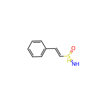 N=[SH](=O)C=Cc1ccccc1